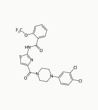 O=C(Nc1nc(C(=O)N2CCN(c3ccc(Cl)c(Cl)c3)CC2)cs1)c1ccccc1OC(F)(F)F